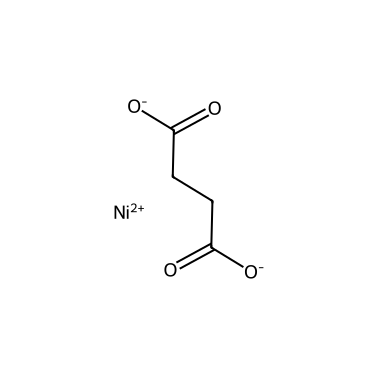 O=C([O-])CCC(=O)[O-].[Ni+2]